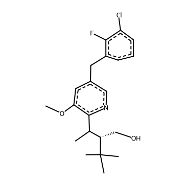 COc1cc(Cc2cccc(Cl)c2F)cnc1C(C)[C@H](CO)C(C)(C)C